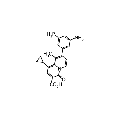 Cc1c(-c2cc(N)cc(P)c2)ccn2c(=O)c(C(=O)O)cc(C3CC3)c12